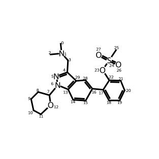 CN(C)Cc1nn(C2CCCCO2)c2ccc(-c3ccccc3OS(C)(=O)=O)cc12